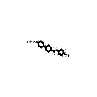 CCCCCCC1CCC(C2CCC(C(=O)Oc3ccc(CC)cc3)CC2)CC1